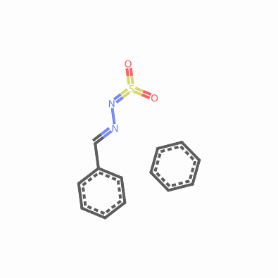 O=S(=O)=NN=Cc1ccccc1.c1ccccc1